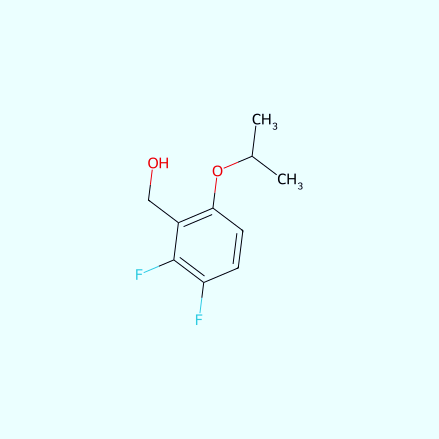 CC(C)Oc1ccc(F)c(F)c1CO